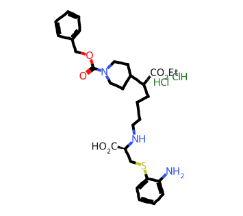 CCOC(=O)C(CCCCN[C@@H](CSc1ccccc1N)C(=O)O)C1CCN(C(=O)OCc2ccccc2)CC1.Cl.Cl